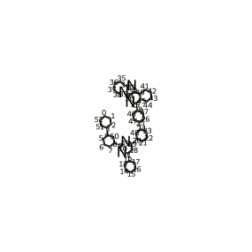 c1ccc(-c2cccc(-c3nc(-c4ccccc4)cc(-c4cccc(-c5ccc(-c6nc7c(nc8ccccn87)c7ccccc67)cc5)c4)n3)c2)cc1